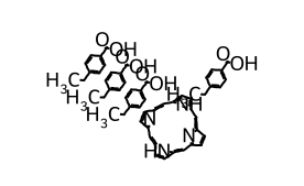 C1=Cc2cc3ccc(cc4nc(cc5ccc(cc1n2)[nH]5)C=C4)[nH]3.CCc1ccc(C(=O)O)cc1.CCc1ccc(C(=O)O)cc1.CCc1ccc(C(=O)O)cc1.CCc1ccc(C(=O)O)cc1